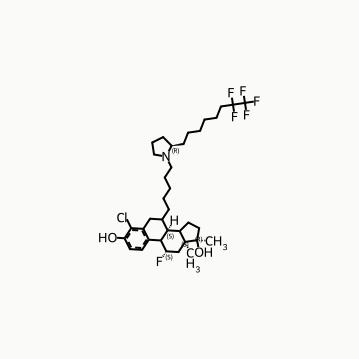 C[C@]12C[C@H](F)C3c4ccc(O)c(Cl)c4CC(CCCCCN4CCC[C@H]4CCCCCCC(F)(F)C(F)(F)F)[C@H]3C1CC[C@@]2(C)O